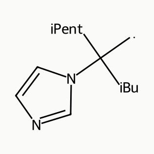 [CH2]C(C(C)CC)(C(C)CCC)n1ccnc1